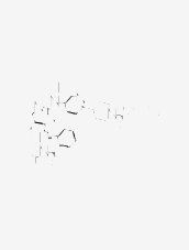 Cc1cnc(Nc2ccc(C3CCN(C(=O)OC(C)(C)C)CC3)nc2)nc1Nc1ccccc1C(=O)NC(C)C